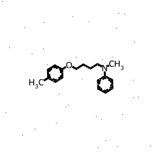 Cc1ccc(OCCCCN(C)c2ccccc2)cc1